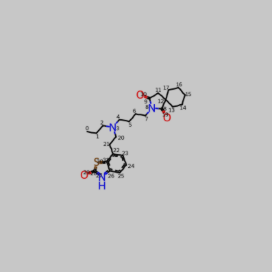 CCCN(CCCCN1C(=O)CC2(CCCCC2)C1=O)CCc1cccc2[nH]c(=O)sc12